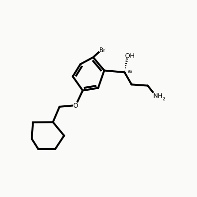 NCC[C@@H](O)c1cc(OCC2CCCCC2)ccc1Br